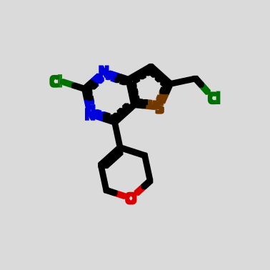 ClCc1cc2nc(Cl)nc(C3=CCOCC3)c2s1